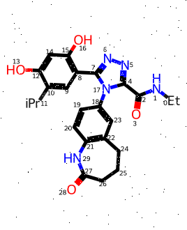 CCNC(=O)c1nnc(-c2cc(C(C)C)c(O)cc2O)n1-c1ccc2c(c1)CCCC(=O)N2